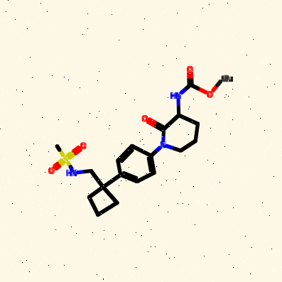 CC(C)(C)OC(=O)NC1CCCN(c2ccc(C3(CNS(C)(=O)=O)CCC3)cc2)C1=O